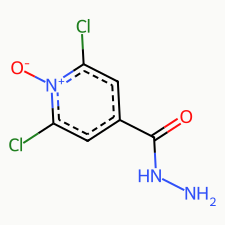 NNC(=O)c1cc(Cl)[n+]([O-])c(Cl)c1